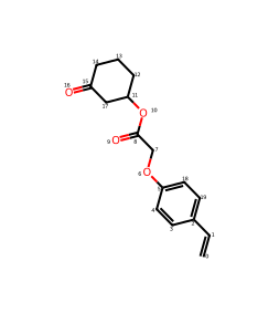 C=Cc1ccc(OCC(=O)OC2CCCC(=O)C2)cc1